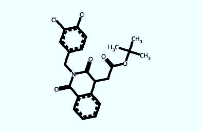 CC(C)(C)OC(=O)CC1C(=O)N(Cc2ccc(Cl)c(Cl)c2)C(=O)c2ccccc21